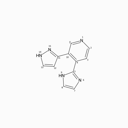 [c]1nccc(-c2ncc[nH]2)c1-c1cc[nH]n1